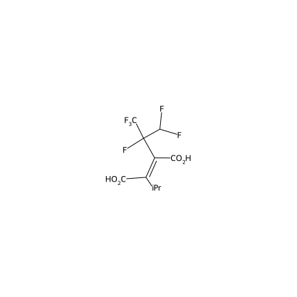 CC(C)/C(C(=O)O)=C(\C(=O)O)C(F)(C(F)F)C(F)(F)F